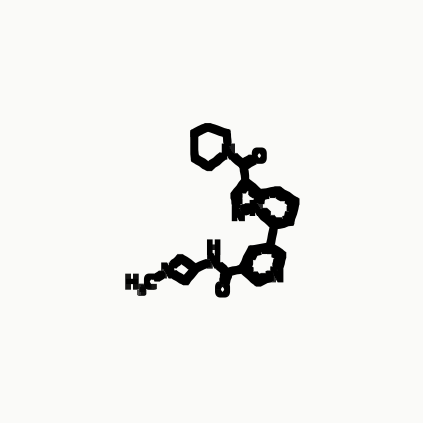 CN1CC(NC(=O)c2cncc(-c3cccc4c(C(=O)N5CCCCC5)cnn34)c2)C1